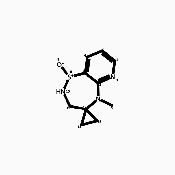 CN1c2ncccc2[S+]([O-])NCC12CC2